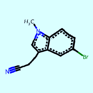 Cn1cc(CC#N)c2cc(Br)ccc21